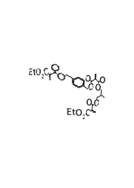 C=C(C(=O)OCC)C(=O)OCc1ccc(COC(=O)C(=C)C(=O)OCC(C)COC(=O)C(=C)C(=O)OCC)cc1